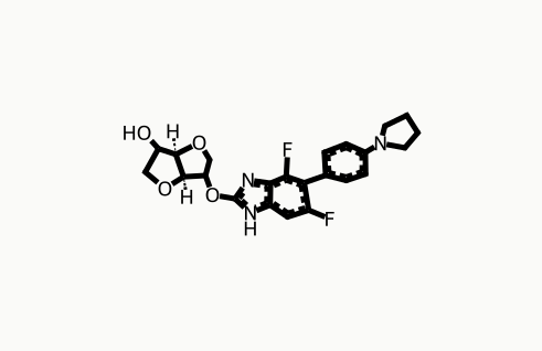 OC1CO[C@@H]2C(Oc3nc4c(F)c(-c5ccc(N6CCCC6)cc5)c(F)cc4[nH]3)CO[C@H]12